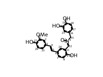 COc1cc(C=Cc2ccc(O)c(C=[N+]([O-])Cc3ccc(O)c(O)c3)c2)ccc1O